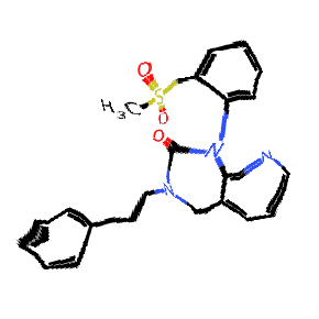 CS(=O)(=O)c1ccccc1N1C(=O)N(CCc2ccccc2)Cc2cccnc21